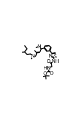 CCC(C)CCN(C)C/C(C)=C/C(=N\C)c1cccc(-c2csc(NC(=O)CNC(=O)OC(C)(C)C)n2)c1